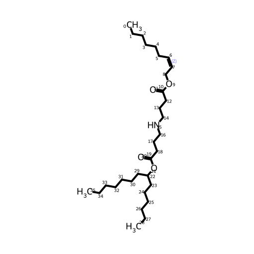 CCCCCC/C=C\COC(=O)CCCNCCCC(=O)OC(CCCCCC)CCCCCCC